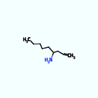 C=CCC(N)CCCCC